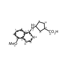 COc1cccc2c(NC3CCC(C(=O)O)C3)ncnc12